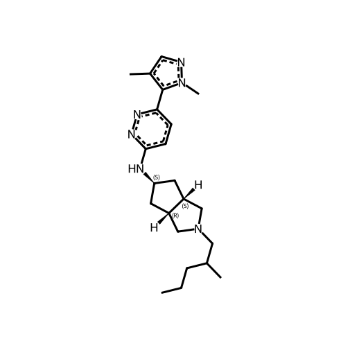 CCCC(C)CN1C[C@H]2C[C@H](Nc3ccc(-c4c(C)cnn4C)nn3)C[C@H]2C1